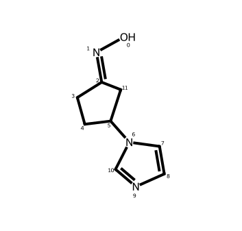 ON=C1CCC(n2ccnc2)C1